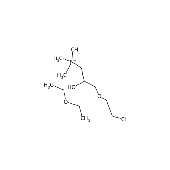 CCOCC.C[N+](C)(C)CC(O)COCCCl